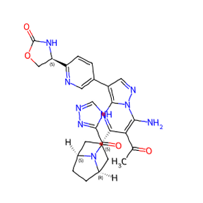 CC(=O)c1c([C@@H]2C[C@H]3CC[C@@H](C2)N3C(=O)c2nnc[nH]2)nc2c(-c3ccc([C@H]4COC(=O)N4)nc3)cnn2c1N